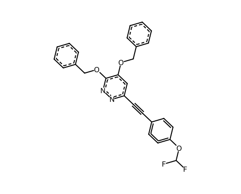 FC(F)OC1=C=C=C(C#Cc2cc(OCc3ccccc3)c(OCc3ccccc3)nn2)C=C1